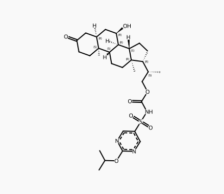 CC(C)Oc1ncc(S(=O)(=O)NC(=O)OC[C@@H](C)[C@H]2CC[C@H]3[C@@H]4[C@H](O)C[C@@H]5CC(=O)CC[C@]5(C)[C@H]4CC[C@]23C)cn1